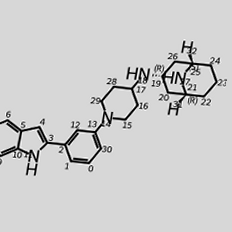 c1cc(-c2cc3ccccc3[nH]2)cc(N2CCC(N[C@H]3C[C@H]4CCC[C@@H](C3)N4)CC2)c1